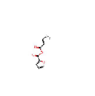 CC=CC(=O)OC(=O)c1ccco1